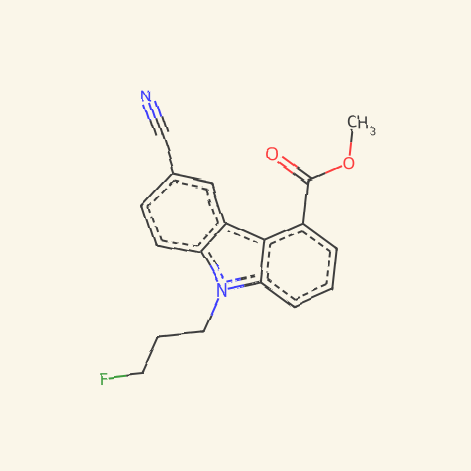 COC(=O)c1cccc2c1c1cc(C#N)ccc1n2CCCF